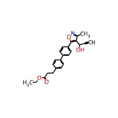 C#CC(O)c1c(C)noc1-c1ccc(-c2ccc(CCC(=O)OCC)cc2)cc1